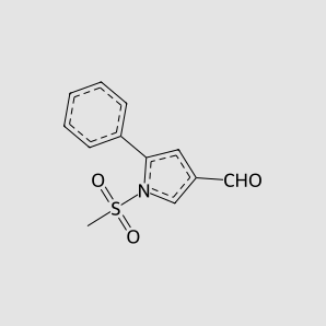 CS(=O)(=O)n1cc(C=O)cc1-c1ccccc1